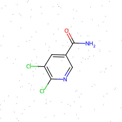 NC(=O)c1cnc(Cl)c(Cl)c1